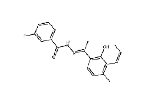 C/C=C\c1c(C)ccc(/C(C)=N/NC(=O)c2cccc(F)c2)c1O